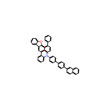 c1ccc(-c2ccc(N(c3ccc(-c4ccc(-c5ccc6ccccc6c5)cc4)cc3)c3ccccc3-c3ccc4oc5ccccc5c4c3)cc2)cc1